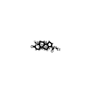 CCNC(=O)[C@H]1CC[C@H]2[C@@H]3CC[C@H]4N(C)C(=O)CC[C@]4(C)[C@H]3CC[C@]12C